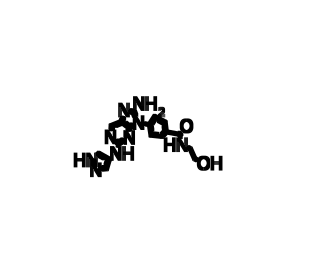 Nc1nc2cnc(Nc3cn[nH]c3)nc2n1-c1ccc(C(=O)NCCO)cc1